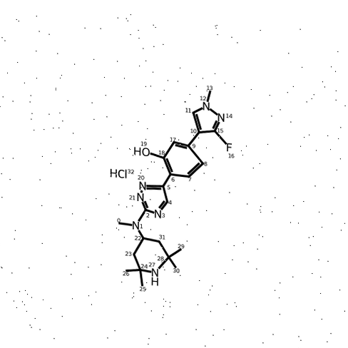 CN(c1ncc(-c2ccc(-c3cn(C)nc3F)cc2O)nn1)C1CC(C)(C)NC(C)(C)C1.Cl